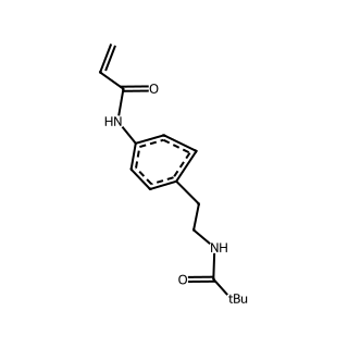 C=CC(=O)Nc1ccc(CCNC(=O)C(C)(C)C)cc1